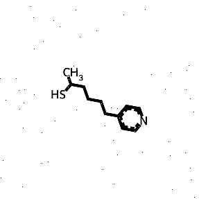 CC(S)CCCCc1ccncc1